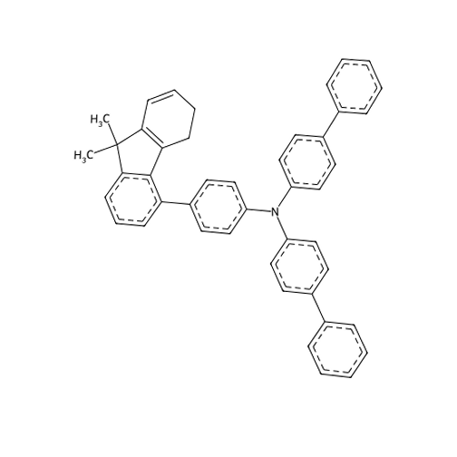 CC1(C)C2=C(CCC=C2)c2c(-c3ccc(N(c4ccc(-c5ccccc5)cc4)c4ccc(-c5ccccc5)cc4)cc3)cccc21